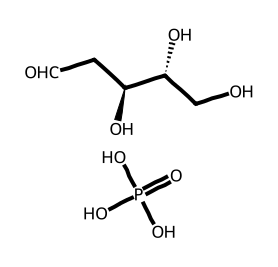 O=CC[C@H](O)[C@H](O)CO.O=P(O)(O)O